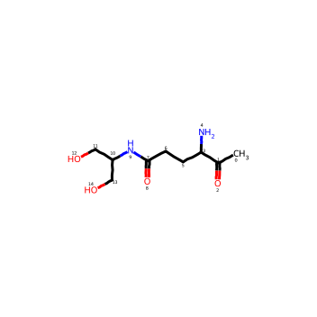 CC(=O)C(N)CCC(=O)NC(CO)CO